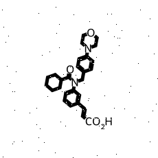 O=C(O)C=Cc1cccc(N(Cc2ccc(N3CCOCC3)cc2)C(=O)C2CCCCC2)c1